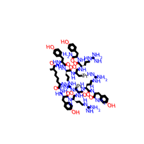 CC(C)CC(NC(=O)[C@H](CCCNC(=N)N)NC(=O)C(Cc1ccc(O)cc1)NNC(=O)C(C)CCCCC(N)C(=O)NNC(Cc1ccc(O)cc1)C(=O)N[C@@H](CCCNC(=N)N)C(=O)NC(CC(C)C)C(=O)N[C@@H](CCCNC(=N)N)C(=O)NC(Cc1ccc(O)cc1)C(N)=O)C(=O)N[C@@H](CCCNC(=N)N)C(=O)NC(Cc1ccc(O)cc1)C(N)=O